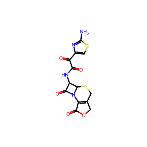 Nc1nc(C(=O)C(=O)NC2C(=O)N3C4=C(COC4=O)CSC23)cs1